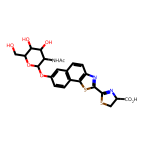 CC(=O)NC1C(Oc2ccc3c(ccc4nc(C5=NC(C(=O)O)CS5)sc43)c2)OC(CO)C(O)C1O